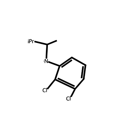 CC(C)C(C)[N]c1cccc(Cl)c1Cl